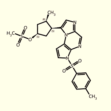 Cc1ccc(S(=O)(=O)n2ccc3c2ncc2ncc([C@H]4C[C@@H](OS(C)(=O)=O)C[C@H]4C)n23)cc1